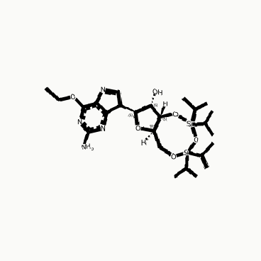 CCOc1nc(N)nc2c1N=CC2[C@@H]1O[C@@H]2CO[Si](C(C)C)(C(C)C)O[Si](C(C)C)(C(C)C)O[C@H]2[C@H]1O